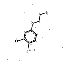 CCc1cc(OCCBr)ccc1C(=O)O